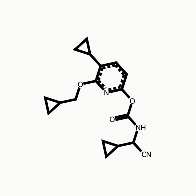 N#CC(NC(=O)Oc1ccc(C2CC2)c(OCC2CC2)n1)C1CC1